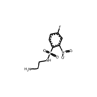 NCCNS(=O)(=O)c1ccc(F)cc1[N+](=O)[O-]